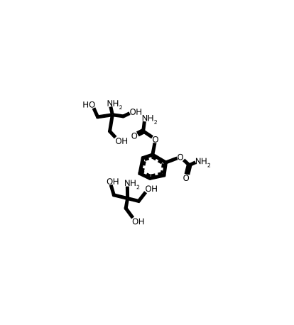 NC(=O)Oc1ccccc1OC(N)=O.NC(CO)(CO)CO.NC(CO)(CO)CO